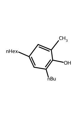 CCCCCCc1cc(C)c(O)c(CCCC)c1